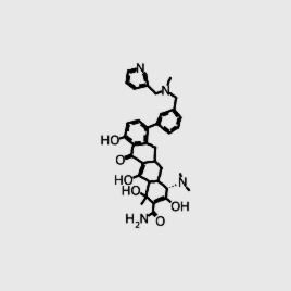 CN(Cc1cccnc1)Cc1cccc(-c2ccc(O)c3c2CC2CC4C(C(O)=C2C3=O)C(C)(O)C(C(N)=O)=C(O)[C@H]4N(C)C)c1